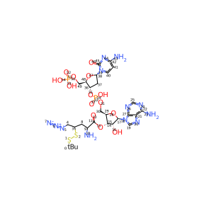 CC(C)(C)SSC(CN=[N+]=[N-])CC(N)C(=O)O[C@H]1[C@@H](O)[C@H](n2cnc3c(N)ncnc32)O[C@@H]1COP(=O)(O)O[C@H]1C[C@H](n2ccc(N)nc2=O)O[C@@H]1COP(=O)(O)O